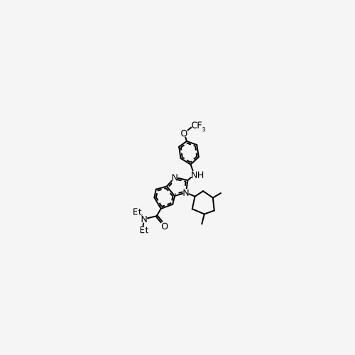 CCN(CC)C(=O)c1ccc2nc(Nc3ccc(OC(F)(F)F)cc3)n(C3CC(C)CC(C)C3)c2c1